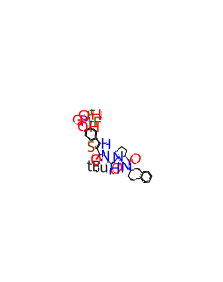 CC(C)(C)[C@H](NC(=O)c1cc2cc(C(F)(F)P(=O)(O)O)ccc2s1)C(=O)N1CCC[C@H]1C(=O)N[C@@H]1CCc2ccccc2C1